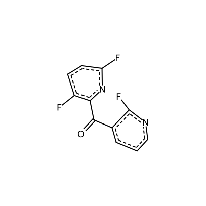 O=C(c1cccnc1F)c1nc(F)ccc1F